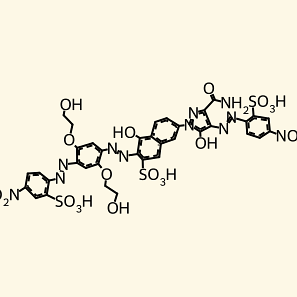 NC(=O)c1nn(-c2ccc3c(O)c(/N=N/c4cc(OCCO)c(/N=N/c5ccc([N+](=O)[O-])cc5S(=O)(=O)O)cc4OCCO)c(S(=O)(=O)O)cc3c2)c(O)c1/N=N/c1ccc([N+](=O)[O-])cc1S(=O)(=O)O